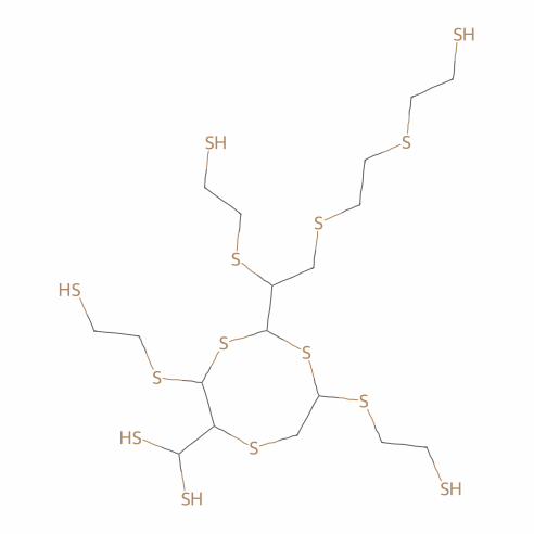 SCCSCCSCC(SCCS)C1SC(SCCS)CSC(C(S)S)C(SCCS)S1